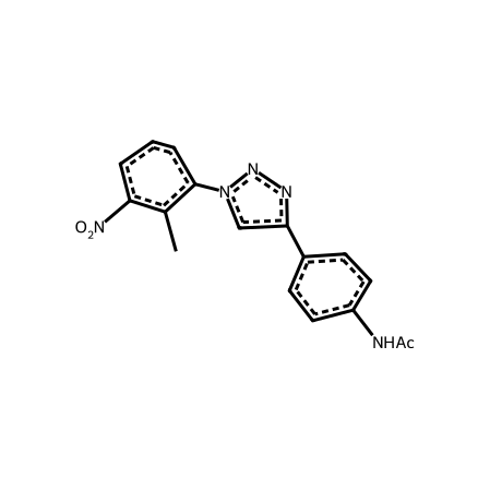 CC(=O)Nc1ccc(-c2cn(-c3cccc([N+](=O)[O-])c3C)nn2)cc1